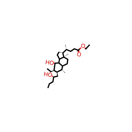 CCC[C@@H](O)C[C@H]1[C@@H](CC)[C@@H](O)C2C(CC[C@@]3(C)C2CC[C@@H]3[C@H](C)CCC(=O)OCC)[C@@H]1C